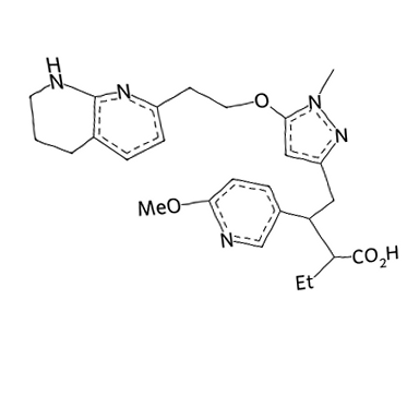 CCC(C(=O)O)C(Cc1cc(OCCc2ccc3c(n2)NCCC3)n(C)n1)c1ccc(OC)nc1